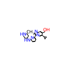 C[C@H]1C[C@@H](Nc2cccc(-c3cnc4cc(CO)c(C5CC5)cn34)n2)CCN1